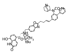 CC(C)(C)[Si](C)(C)O[C@@H](CNCc1ccc2nc(CCC=Cc3ccc(-c4ccccc4)c(N(C(=O)O)C4CN5CCC4CC5)c3)oc2c1)c1ccc(O)c2[nH]c(=O)ccc12